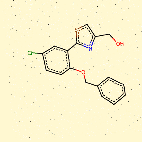 OCc1csc(-c2cc(Cl)ccc2OCc2ccccc2)n1